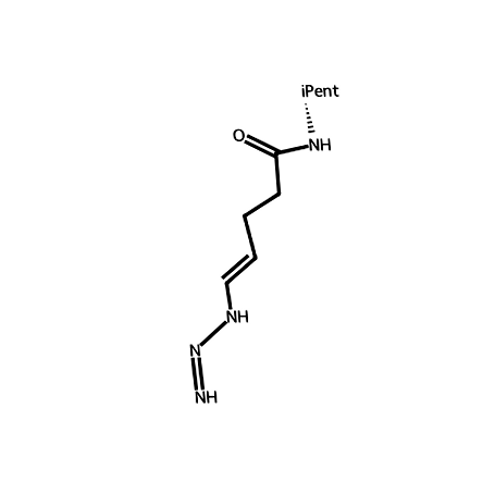 CCC[C@@H](C)NC(=O)CC/C=C/NN=N